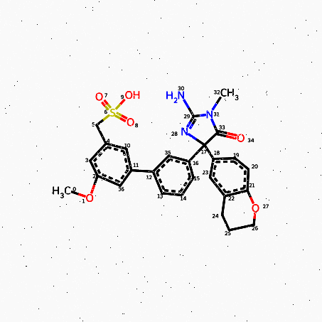 COc1cc(CS(=O)(=O)O)cc(-c2cccc(C3(c4ccc5c(c4)CCCO5)N=C(N)N(C)C3=O)c2)c1